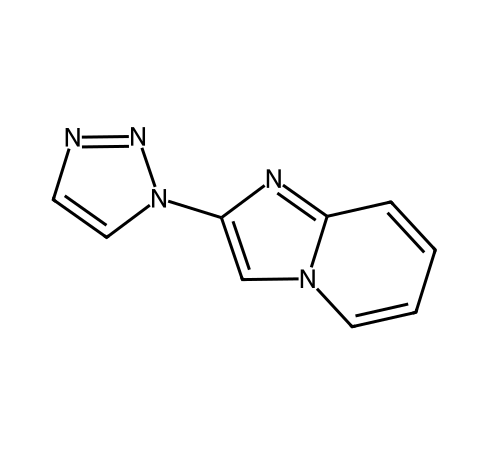 c1ccn2cc(-n3ccnn3)nc2c1